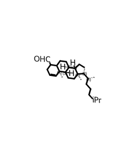 CC(C)CCC[C@@H](C)[C@H]1CC[C@H]2[C@@H]3CCC4C(C=O)CC=C[C@]4(C)[C@H]3CC[C@]12C